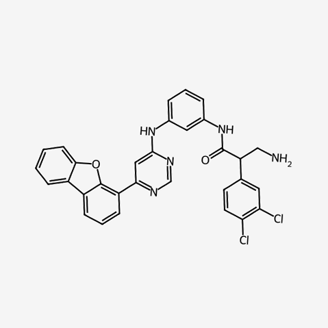 NCC(C(=O)Nc1cccc(Nc2cc(-c3cccc4c3oc3ccccc34)ncn2)c1)c1ccc(Cl)c(Cl)c1